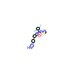 O=C(Nc1nccs1)C(c1cc(F)ccc1F)N1Cc2ccc(-c3ccc(N4CCNCC4)cc3)cc2C1=O